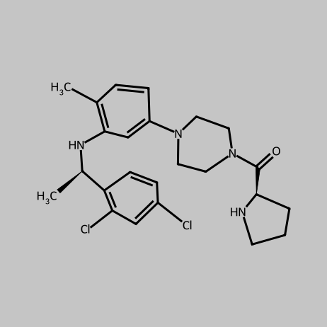 Cc1ccc(N2CCN(C(=O)[C@H]3CCCN3)CC2)cc1N[C@H](C)c1ccc(Cl)cc1Cl